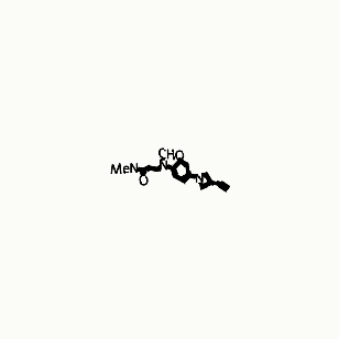 C#CC1CN(c2ccc(N(C=O)CCC(=O)NC)cc2)C1